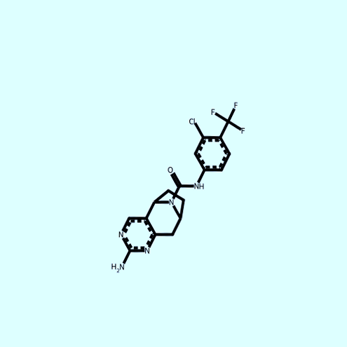 Nc1ncc2c(n1)CC1CCC2N1C(=O)Nc1ccc(C(F)(F)F)c(Cl)c1